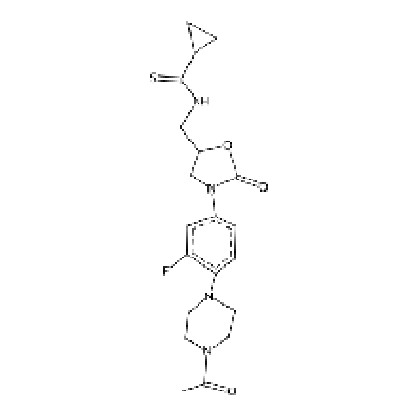 CC(=O)N1CCN(c2ccc(N3CC(CNC(=S)C4CC4)OC3=O)cc2F)CC1